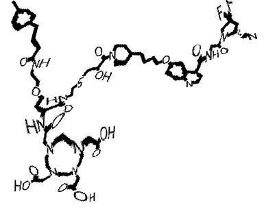 Cc1ccc(CCCC(=O)NCCOCCC(NC(=O)CN2CCN(CC(=O)O)CCN(CC(=O)O)CCN(CC(=O)O)CC2)C(=O)NCCSCC(O)C(=O)N2CCC(CCCCOc3ccc4nccc(C(=O)NCC(=O)N5CC(F)(F)C[C@@H]5C#N)c4c3)CC2)cc1